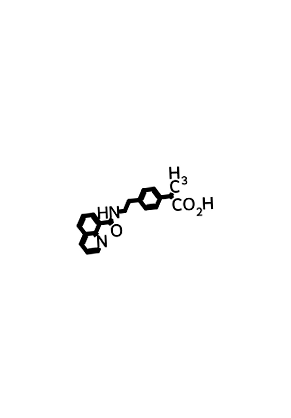 CC(C(=O)O)c1ccc(CCNC(=O)c2cccc3cccnc23)cc1